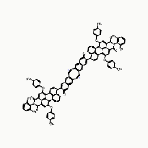 CC(C)c1cccc(C(C)C)c1N1C(=O)c2cc(Oc3ccc(C(C)(C)C)cc3)c3c4cccc5c(-c6cc7cc8c(cc7cc6Cl)/C=C\c6cc7cc(-c9ccc%10c%11c(Oc%12ccc(C(C)(C)C)cc%12)cc%12c%13c(cc(Oc%14ccc(C(C)(C)C)cc%14)c(c%14cccc9c%14%10)c%13%11)C(=O)N(c9c(C(C)C)cccc9C(C)C)C%12=O)c(Cl)cc7cc6/C=C\8)ccc(c6c(Oc7ccc(C(C)(C)C)cc7)cc(c2c36)C1=O)c54